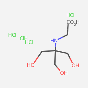 Cl.Cl.Cl.Cl.O=C(O)CNC(CO)(CO)CO